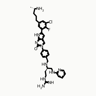 C[C@H](N)CCCc1cc(Cl)c(F)c(-c2cc3cn(-c4ccc(CN[C@H](CCNC(=N)N)CNc5ccccn5)cc4)c(=O)nc3[nH]2)c1